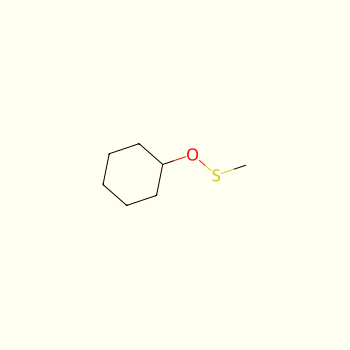 CSOC1CCCCC1